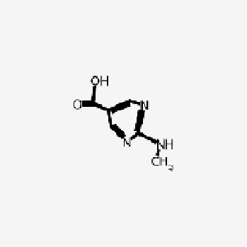 CNc1ncc(C(=O)O)cn1